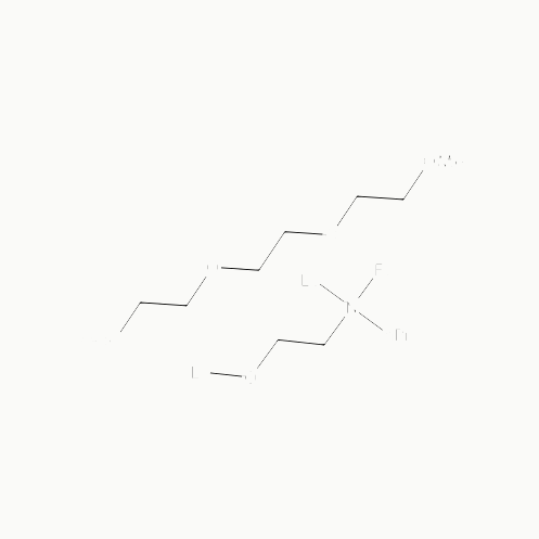 CCC[N+](CC)(CC)CCOCC.COCCOCCOCCC(=O)[O-]